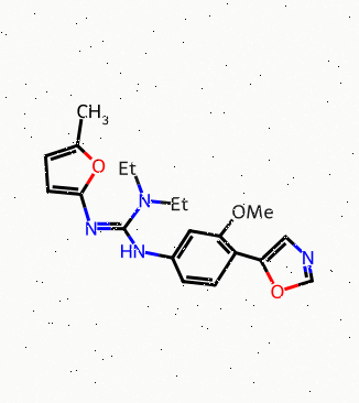 CCN(CC)C(=Nc1ccc(C)o1)Nc1ccc(-c2cnco2)c(OC)c1